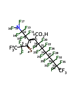 O=C(O)C(=C(C(=S)C(F)(F)C(F)(F)F)C(F)(F)C(F)(F)N(F)F)C(F)(F)C(F)(F)C(F)(F)C(F)(F)C(F)(F)C(F)(F)C(F)(F)F